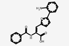 Nc1ccccc1-c1ccc(/C=C(/NC(=O)c2ccccc2)C(=O)O)o1